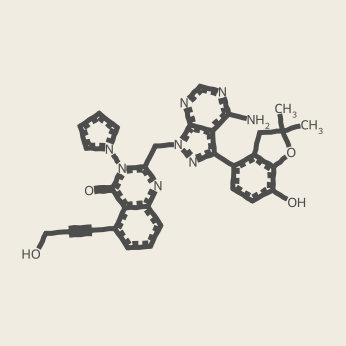 CC1(C)Cc2c(-c3nn(Cc4nc5cccc(C#CCO)c5c(=O)n4-n4cccc4)c4ncnc(N)c34)ccc(O)c2O1